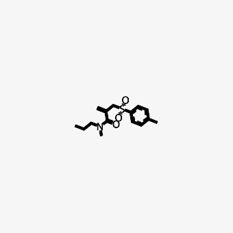 C=C(CS(=O)(=O)c1ccc(C)cc1)C(=O)N(C)CCC